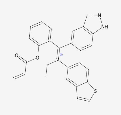 C=CC(=O)Oc1ccccc1/C(=C(\CC)c1ccc2sccc2c1)c1ccc2[nH]ncc2c1